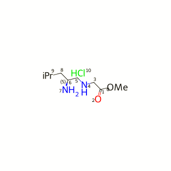 COC(=O)CNC[C@@H](N)CC(C)C.Cl